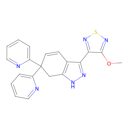 COc1nsnc1-c1n[nH]c2c1C=CC(c1ccccn1)(c1ccccn1)C2